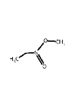 CCS(=O)OC